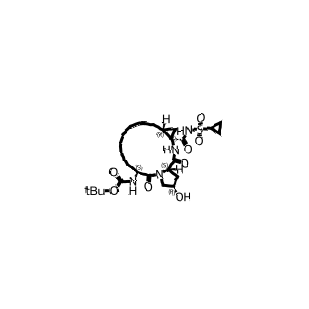 CC(C)(C)OC(=O)N[C@H]1CCCCCCC[C@@H]2C[C@@]2(C(=O)NS(=O)(=O)C2CC2)NC(=O)[C@@H]2C[C@@H](O)CN2C1=O